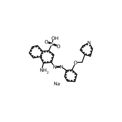 Nc1c(N=Nc2ccccc2OCc2ccncc2)cc(S(=O)(=O)O)c2ccccc12.[Na]